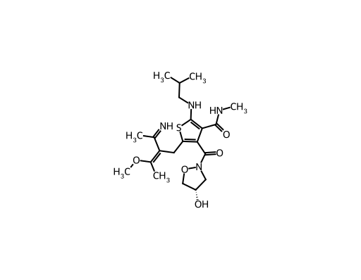 CNC(=O)c1c(NCC(C)C)sc(C/C(C(C)=N)=C(\C)OC)c1C(=O)N1C[C@H](O)CO1